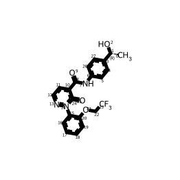 C[C@@H](O)c1ccc(NC(=O)c2ccnn(-c3ccccc3OCC(F)(F)F)c2=O)cc1